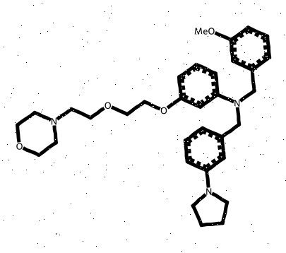 COc1cccc(CN(Cc2cccc(N3CCCC3)c2)c2cccc(OCCOCCN3CCOCC3)c2)c1